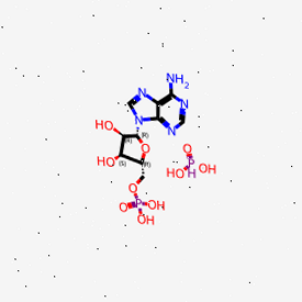 Nc1ncnc2c1ncn2[C@@H]1O[C@H](COP(=O)(O)O)[C@@H](O)[C@H]1O.O=[PH](O)O